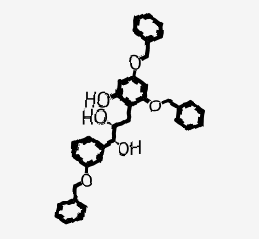 Oc1cc(OCc2ccccc2)cc(OCc2ccccc2)c1C[C@@H](O)[C@H](O)c1cccc(OCc2ccccc2)c1